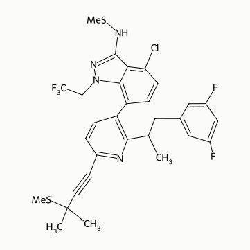 CSNc1nn(CC(F)(F)F)c2c(-c3ccc(C#CC(C)(C)SC)nc3C(C)Cc3cc(F)cc(F)c3)ccc(Cl)c12